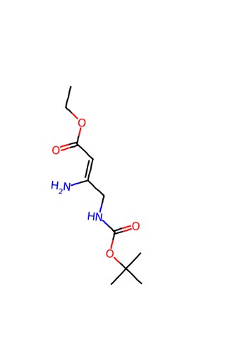 CCOC(=O)/C=C(\N)CNC(=O)OC(C)(C)C